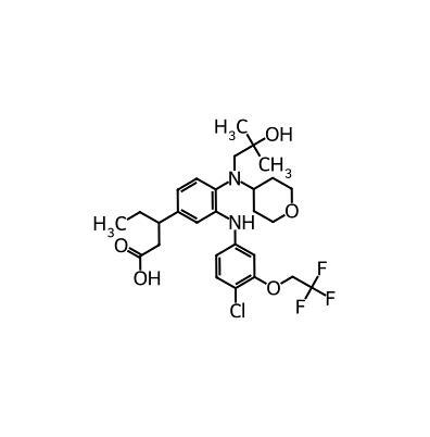 CCC(CC(=O)O)c1ccc(N(CC(C)(C)O)C2CCOCC2)c(Nc2ccc(Cl)c(OCC(F)(F)F)c2)c1